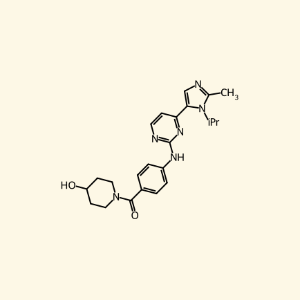 Cc1ncc(-c2ccnc(Nc3ccc(C(=O)N4CCC(O)CC4)cc3)n2)n1C(C)C